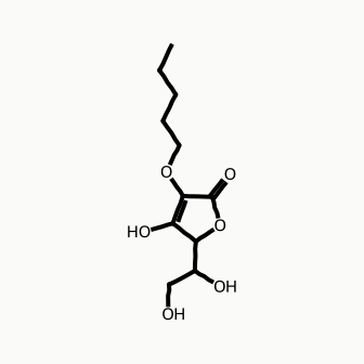 CCCCCOC1=C(O)C(C(O)CO)OC1=O